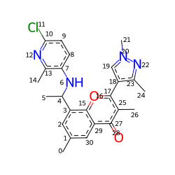 Cc1cc(C(C)Nc2ccc(Cl)nc2C)c2oc(-c3cn(C)nc3C)c(C)c(=O)c2c1